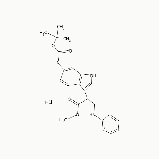 COC(=O)C(CNc1ccccc1)c1c[nH]c2cc(NC(=O)OC(C)(C)C)ccc12.Cl